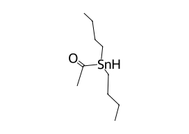 CCC[CH2][SnH]([CH2]CCC)[C](C)=O